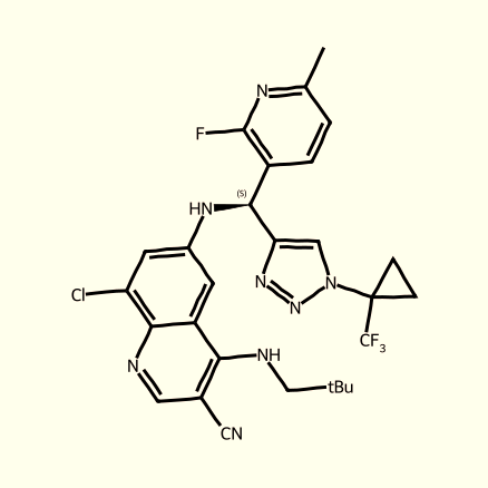 Cc1ccc([C@H](Nc2cc(Cl)c3ncc(C#N)c(NCC(C)(C)C)c3c2)c2cn(C3(C(F)(F)F)CC3)nn2)c(F)n1